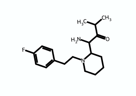 CC(C)C(=O)[C](N)C1CCCCN1CCc1ccc(F)cc1